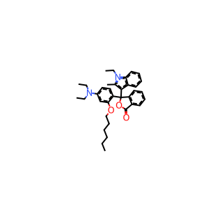 CCCCCCOc1cc(N(CC)CC)ccc1C1(c2c(C)n(CC)c3ccccc23)OC(=O)c2ccccc21